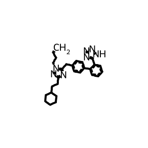 C=CCCn1nc(CCC2CCCCC2)nc1Cc1ccc(-c2ccccc2-c2nnn[nH]2)cc1